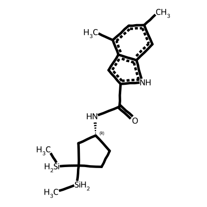 C[SiH2]C1([SiH2]C)CC[C@@H](NC(=O)c2cc3c(C)cc(C)cc3[nH]2)C1